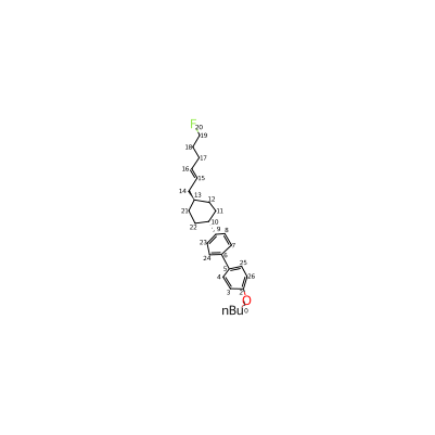 CCCCOc1ccc(-c2ccc([C@H]3CC[C@H](CC=CCCCF)CC3)cc2)cc1